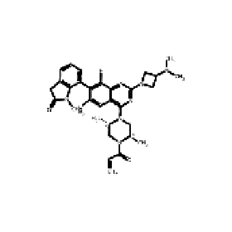 C=CC(=O)N1C[C@H](C)N(c2nc(N3CC(N(C)C)C3)nc3c(F)c(-c4cccc5c4N(C)C(=O)C5)c(C)cc23)C[C@H]1C